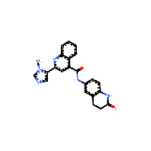 Cn1cncc1-c1cc(C(=O)Nc2ccc3c(c2)CCC(=O)N3)c2ccccc2n1